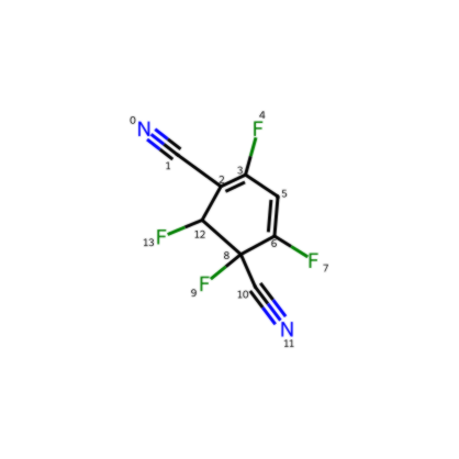 N#CC1=C(F)C=C(F)C(F)(C#N)C1F